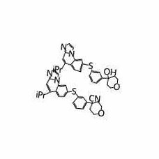 CC(C)c1cc2nccn2c2cc(Sc3cccc(C4(C#N)CCOCC4)c3)ccc12.CC(C)c1cc2nccn2c2cc(Sc3cccc(C4(O)CCOCC4)c3)ccc12